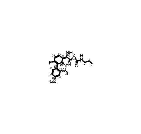 CCCNC(=O)Oc1nnc2c(-c3ccc(OC)cc3OC)c(F)ccc2c1N